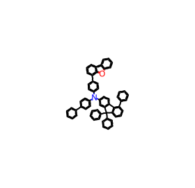 c1ccc(-c2ccc(N(c3ccc(-c4cccc5c4oc4ccccc45)cc3)c3ccc4c(c3)C(c3ccccc3)(c3ccccc3)c3cccc(-c5ccccc5)c3-4)cc2)cc1